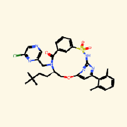 Cc1cccc(C)c1-c1cc2nc(n1)NS(=O)(=O)c1cccc(c1)C(=O)N(Cc1cncc(Cl)n1)[C@H](CCC(C)(C)C)CO2